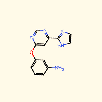 Nc1cccc(Oc2cc(-c3ncc[nH]3)ncn2)c1